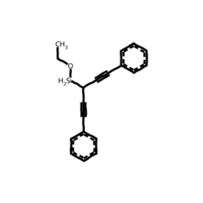 CCO[SiH2]C(C#Cc1ccccc1)C#Cc1ccccc1